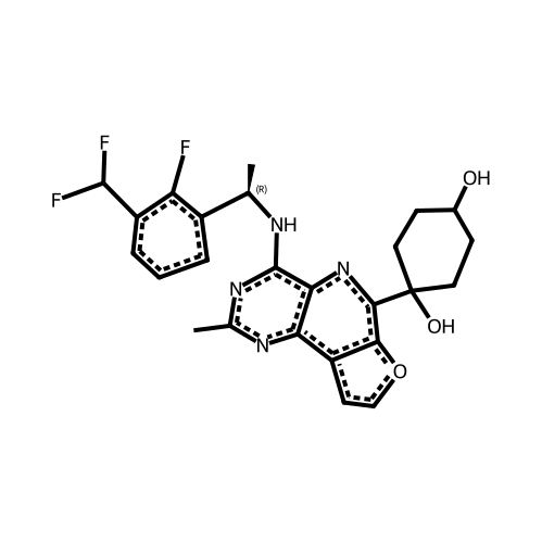 Cc1nc(N[C@H](C)c2cccc(C(F)F)c2F)c2nc(C3(O)CCC(O)CC3)c3occc3c2n1